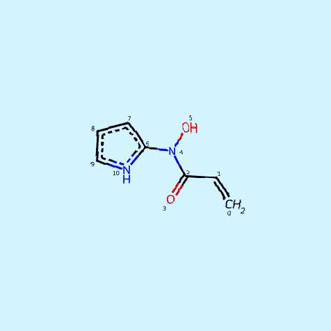 C=CC(=O)N(O)c1ccc[nH]1